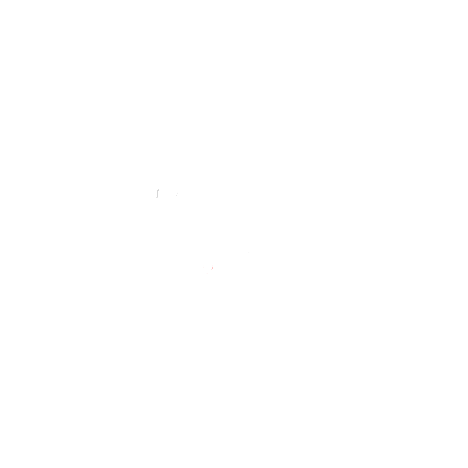 O=C(O)c1ccccc1C(=O)C1CCC1